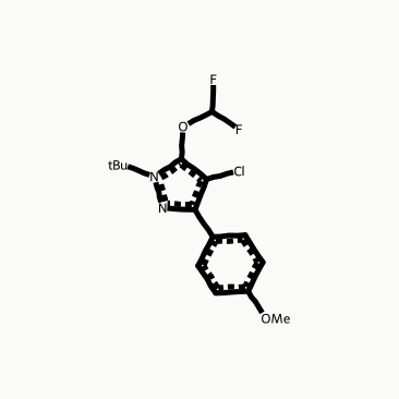 COc1ccc(-c2nn(C(C)(C)C)c(OC(F)F)c2Cl)cc1